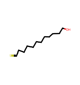 OCCCCCCCCCCCC=S